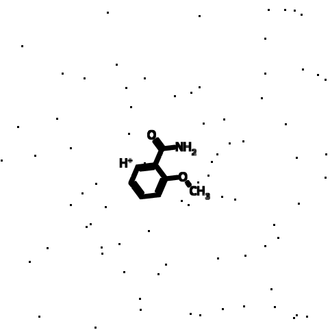 COc1ccccc1C(N)=O.[H+]